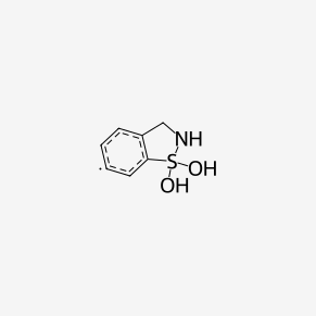 OS1(O)NCc2cc[c]cc21